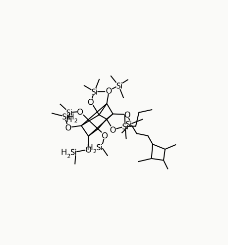 CCC[Si](C)(C)OC12C3(O[SiH2]C)C4(O[SiH2]C)C5(O[SiH2]C)C3(O[SiH](C)C)C1(O[Si](C)(C)C)C5(O[Si](C)(C)C)C42O[Si](C)(C)CCC1C(C)C(C)C1C